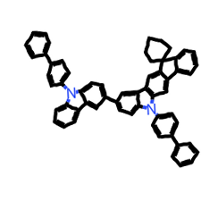 c1ccc(-c2ccc(-n3c4ccccc4c4cc(-c5ccc6c(c5)c5cc7c(cc5n6-c5ccc(-c6ccccc6)cc5)-c5ccccc5C75CCCCC5)ccc43)cc2)cc1